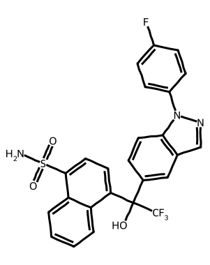 NS(=O)(=O)c1ccc(C(O)(c2ccc3c(cnn3-c3ccc(F)cc3)c2)C(F)(F)F)c2ccccc12